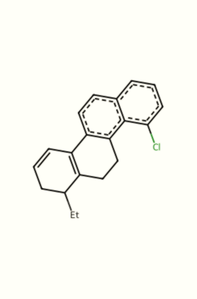 CCC1CC=CC2=C1CCc1c2ccc2cccc(Cl)c12